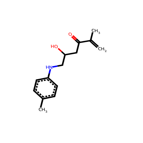 C=C(C)C(=O)CC(O)CNc1ccc(C)cc1